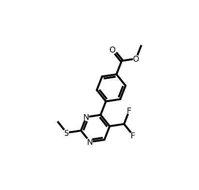 COC(=O)c1ccc(-c2nc(SC)ncc2C(F)F)cc1